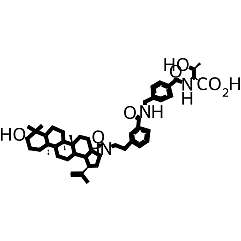 C=C(C)[C@@H]1CC[C@]2(C(=O)NCCc3cccc(C(=O)NCc4ccc(C(=O)N[C@@H](C(=O)O)[C@H](C)O)cc4)c3)CC[C@]3(C)C(CCC4[C@@]5(C)CC[C@H](O)C(C)(C)C5CC[C@]43C)C12